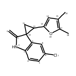 C=C1Nc2ccc(Cl)cc2C12CC2c1cc(C)c(C)o1